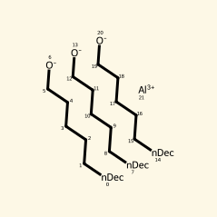 CCCCCCCCCCCCCCC[O-].CCCCCCCCCCCCCCC[O-].CCCCCCCCCCCCCCC[O-].[Al+3]